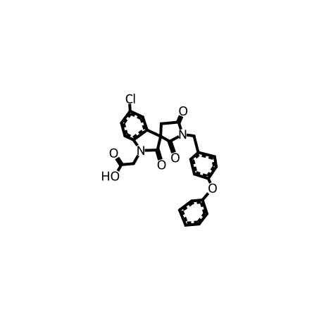 O=C(O)CN1C(=O)C2(CC(=O)N(Cc3ccc(Oc4ccccc4)cc3)C2=O)c2cc(Cl)ccc21